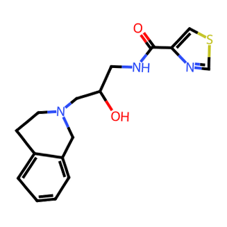 O=C(NCC(O)CN1CCc2ccccc2C1)c1cscn1